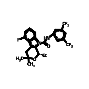 CC[C@@H]1OC(C)(C)Cc2c1n(C(=O)Nc1cc(C(F)(F)F)cc(C(F)(F)F)c1)c1cccc(F)c21